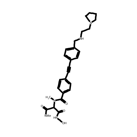 CNC(=O)C(C(=O)NO)N(C)C(=O)c1ccc(C#Cc2ccc(CNCCN3CCCC3)cc2)cc1